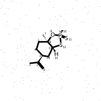 C=C(C)[C@H]1CC[C@@]2(C)O[P@](C)(=S)S[C@@H]2C1